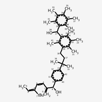 C=C(/C=C\C(=C/C)C(C)(C)C)[C@H](O)c1ccc(C(C)(C)CCc2c(C)c(C)c(C)c(C(O)c3c(C)c(C)c(C)c(C)c3C)c2C)cc1